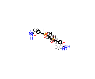 CC(C)(CCC(C)(C)S(=O)(=O)C#Cc1cccc(Oc2[nH]nnc2C(=O)O)c1)S(=O)(=O)C#Cc1ccc(Oc2[nH]nnc2C(=O)O)cc1